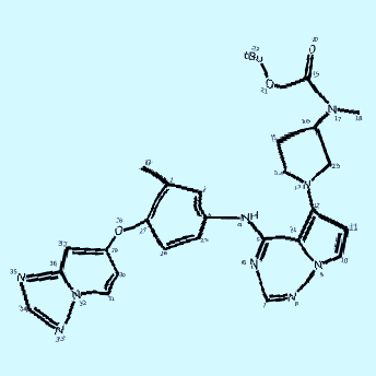 Cc1cc(Nc2ncnn3ccc(N4CCC(N(C)C(=O)OC(C)(C)C)C4)c23)ccc1Oc1ccn2ncnc2c1